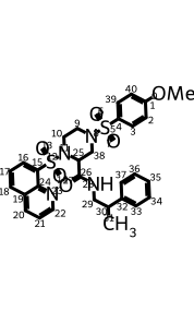 COc1ccc(S(=O)(=O)N2CCN(S(=O)(=O)c3cccc4cccnc34)C(C(=O)NCC(C)c3ccccc3)C2)cc1